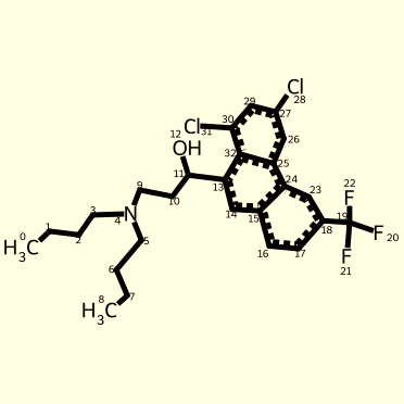 CCCCN(CCCC)CCC(O)c1cc2ccc(C(F)(F)F)cc2c2cc(Cl)cc(Cl)c12